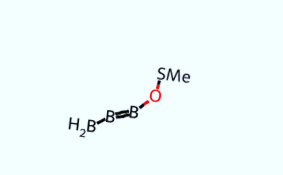 BB=BOSC